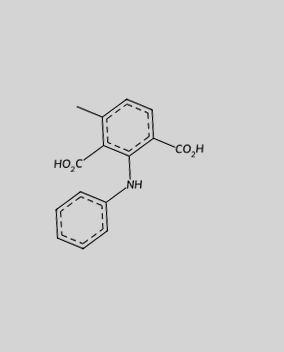 Cc1ccc(C(=O)O)c(Nc2ccccc2)c1C(=O)O